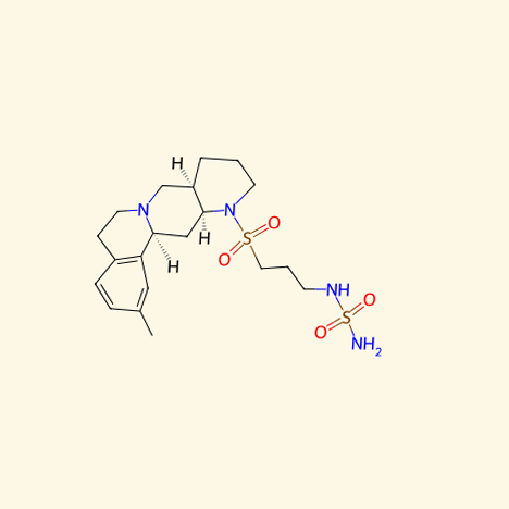 Cc1ccc2c(c1)[C@@H]1C[C@H]3[C@H](CCCN3S(=O)(=O)CCCNS(N)(=O)=O)CN1CC2